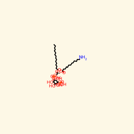 CCCCCCCCCCCCCCCC(=O)O[C@H](COC(=O)CCCCCCCCCCCCN)COP(=O)(O)OC1C(O)[C@@H](OP(=O)(O)O)C(O)[C@@H](O)[C@H]1O